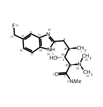 CNC(=O)[C@@H]([C@H](O)[C@H](C)Cc1nc2cc(CF)ccc2[nH]1)N(C)C